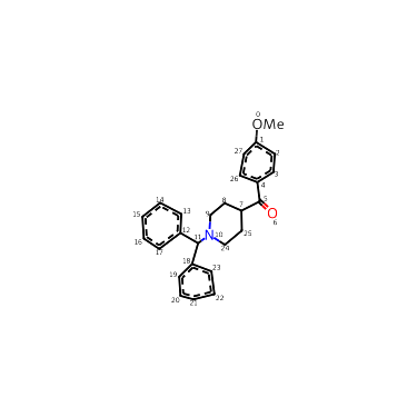 COc1ccc(C(=O)C2CCN(C(c3ccccc3)c3ccccc3)CC2)cc1